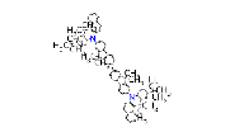 CC(C)(C)c1ccc2c(c1)C(C)(C)c1c(ccc3ccccc13)N2c1ccc2c(c1)C(C)(C)c1cc(-c3ccc4c(c3)C(C)(C)c3cc(N5c6ccc(C(C)(C)C)cc6C(C)(C)c6c5ccc5ccccc65)ccc3-4)ccc1-2